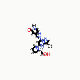 CCc1cnn2c(NCc3ccn(CC)c(=O)c3)cc(N3CCCC[C@H]3CCO)nc12